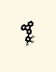 Brc1ccc(-c2ccc3c4ccccc4c4ccccc4c3c2)c(Br)c1Br